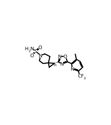 Cc1ccc(C(F)(F)F)nc1-c1nc([C@@H]2CC23CCN(S(N)(=O)=O)CC3)no1